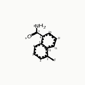 Cc1cccc2c(C(N)=O)cccc12